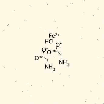 Cl.NCC(=O)[O-].NCC(=O)[O-].[Fe+2]